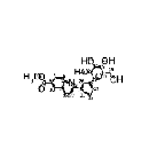 COC(=O)c1ccc2nc(-c3cccc([C@H]4O[C@H](CO)[C@@H](O)[C@H](O)[C@@H]4O)c3)ccc2c1